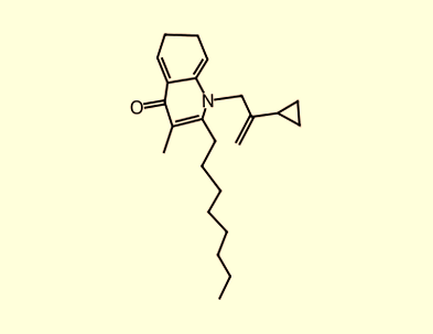 C=C(Cn1c(CCCCCCCC)c(C)c(=O)c2c1=CCCC=2)C1CC1